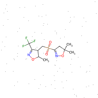 CC1ON=C(C(F)(F)F)C1CS(=O)(=O)C1=NOC(C)(C)C1